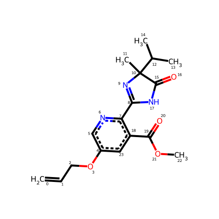 C=CCOc1cnc(C2=NC(C)(C(C)C)C(=O)N2)c(C(=O)OC)c1